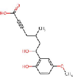 COc1ccc(O)c(C(O)CC(C)CC#CC(=O)O)c1